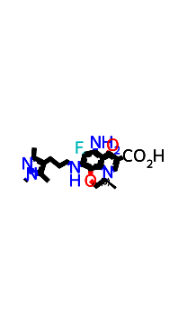 Cc1nn(C)c(C)c1CCCNc1c(F)c(N)c2c(=O)c(C(=O)O)cn3c2c1OC[C@@H]3C